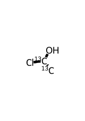 [13CH3][13CH](O)Cl